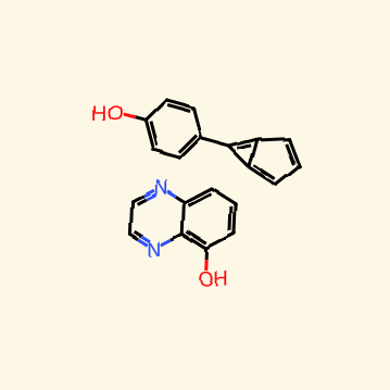 Oc1ccc(-c2c3cccc2-3)cc1.Oc1cccc2nccnc12